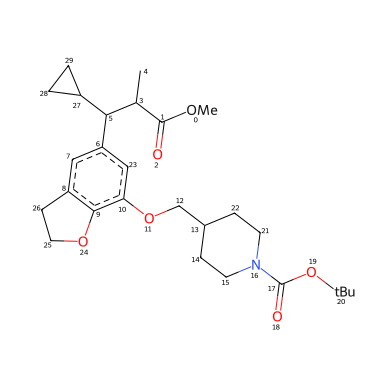 COC(=O)C(C)C(c1cc2c(c(OCC3CCN(C(=O)OC(C)(C)C)CC3)c1)OCC2)C1CC1